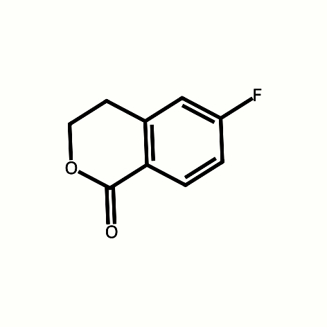 O=C1OCCc2cc(F)ccc21